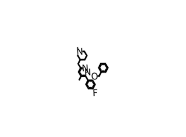 Cc1cc(CC2CCCN(C)C2)nnc1-c1ccc(F)cc1OCc1ccccc1